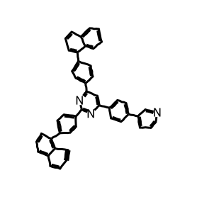 c1ccc2cccc(-c3ccc(-c4nc(-c5ccc(-c6cccnc6)cc5)cc(-c5ccc(-c6cccc7ccccc67)cc5)n4)cc3)c2c#1